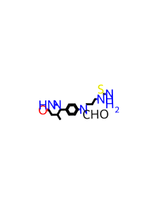 CC1CC(=O)NN=C1c1ccc(N(C=O)CCCNC(N)=S)cc1